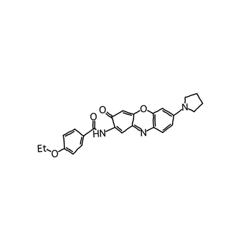 CCOc1ccc(C(=O)Nc2cc3nc4ccc(N5CCCC5)cc4oc-3cc2=O)cc1